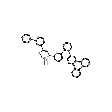 C1=NC(c2cccc(-c3ccccc3)c2)=CC(c2cccc(-c3ccccc3-c3ccc4c5ccccc5c5ccccc5c4c3)c2)N1